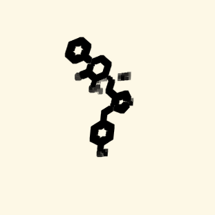 C[C@H]1C(=O)N(c2ccccc2)CC[C@@H]1CCc1cncn1Cc1ccc(C#N)cc1.Cl